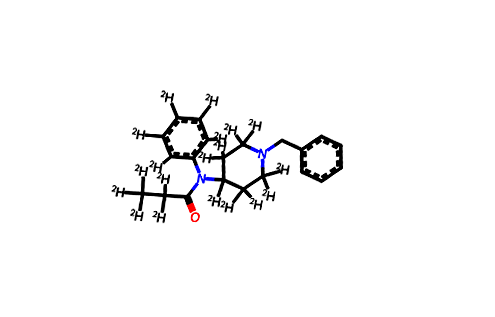 [2H]c1c([2H])c([2H])c(N(C(=O)C([2H])([2H])C([2H])([2H])[2H])C2([2H])C([2H])([2H])C([2H])([2H])N(Cc3ccccc3)C([2H])([2H])C2([2H])[2H])c([2H])c1[2H]